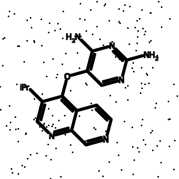 CC(C)c1cnc2cnccc2c1Oc1cnc(N)nc1N